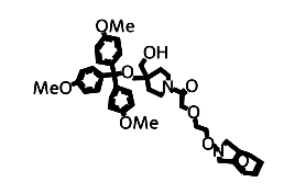 COc1ccc(C(OCC2(CO)CCN(C(=O)COCCON3CC4C5C=CC(O5)C4C3)CC2)(c2ccc(OC)cc2)c2ccc(OC)cc2)cc1